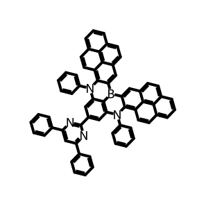 c1ccc(-c2cc(-c3ccccc3)nc(-c3cc4c5c(c3)N(c3ccccc3)c3c(cc6ccc7cccc8ccc3c6c78)B5c3cc5ccc6cccc7ccc(c3N4c3ccccc3)c5c67)n2)cc1